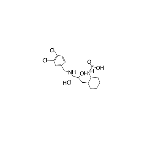 Cl.O=[PH](O)CC1CCCC[C@H]1CC(O)CNCc1ccc(Cl)c(Cl)c1